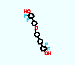 Oc1ccc(C2=CCC(C3CCC(COC4CCC(c5ccc(O)c(F)c5F)CC4)CC3)CC2)c(F)c1F